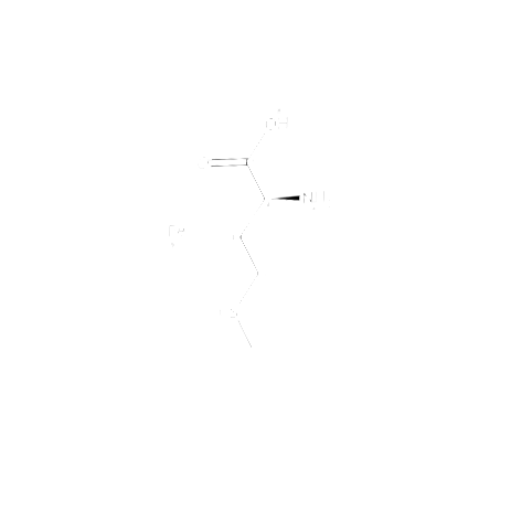 CSCC[C@H](N)C(=O)O.[Fe]